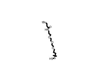 CC(C)(C)CCC(=O)NCCCOCCOCCOCCCC(C)(C)SS